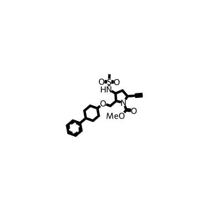 C#CC1CC(NS(C)(=O)=O)C(COC2CCC(c3ccccc3)CC2)N1C(=O)OC